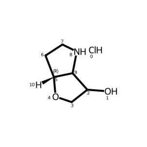 Cl.OC1CO[C@@H]2CCNC12